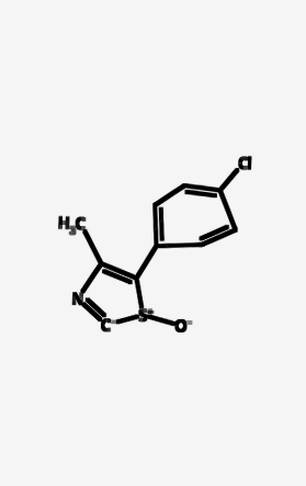 Cc1n[c-][s+]([O-])c1-c1ccc(Cl)cc1